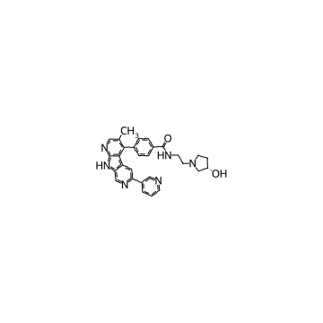 Cc1cnc2[nH]c3cnc(-c4cccnc4)cc3c2c1-c1ccc(C(=O)NCCN2CC[C@H](O)C2)cc1